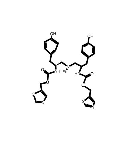 CCN(CC(Cc1ccc(O)cc1)NC(=O)OCc1cncs1)C[C@H](Cc1ccc(O)cc1)NC(=O)OCc1cncs1